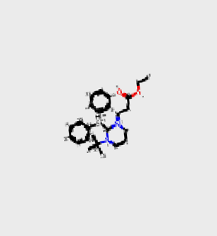 CCOC(=O)CCN1CCCN(C(C)(C)C)C1[SiH](c1ccccc1)c1ccccc1